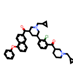 O=C(c1ccc2c(Oc3ccccc3)cccc2c1)C1CC(c2cccc(C(=O)C3CCCN(CC4CC4)C3)c2Cl)CN(CC2CC2)C1